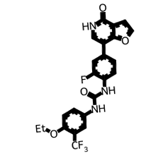 CCOc1ccc(NC(=O)Nc2ccc(-c3c[nH]c(=O)c4ccoc34)cc2F)cc1C(F)(F)F